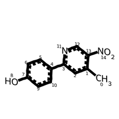 Cc1cc(-c2ccc(O)cc2)ncc1[N+](=O)[O-]